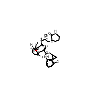 N#C[C@@H](C[C@@H]1CCCNC1=O)NC(=O)[C@H]1[C@H]2CC[C@H](CC2(F)F)N1C(=O)[C@@H](CC1CC1)Nc1cccc(Cl)c1